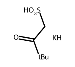 CC(C)(C)C(=O)CS(=O)(=O)O.[KH]